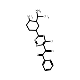 CC(N)C1CC(c2nnc(C(=O)C(=O)c3ccccc3)c(Cl)n2)CCC1N